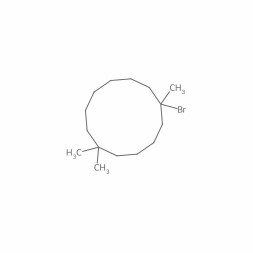 CC1(C)CCCCCCC(C)(Br)CCCC1